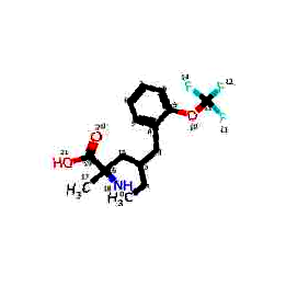 CCC(Cc1ccccc1OC(F)(F)F)CC(C)(N)C(=O)O